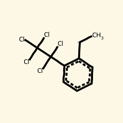 C[CH]c1ccccc1C(Cl)(Cl)C(Cl)(Cl)Cl